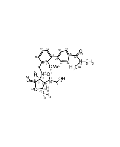 COc1c(CN2O[C@@H](CO)[C@H]3[C@H](C)OC(=O)[C@H]32)cccc1-c1ccc(C(=O)N(C)C)cc1